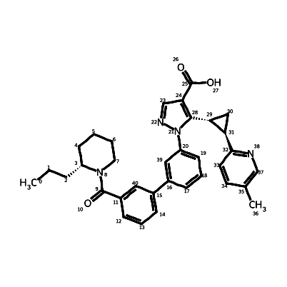 CCC[C@@H]1CCCCN1C(=O)c1cccc(-c2cccc(-n3ncc(C(=O)O)c3[C@@H]3C[C@H]3c3ccc(C)cn3)c2)c1